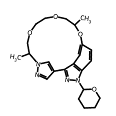 CC1COCCOCC(C)n2cc(cn2)-c2nn(C3CCCCO3)c3ccc(cc23)O1